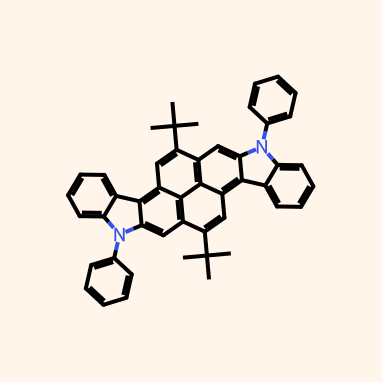 CC(C)(C)c1cc2c3c(cc4c2c2ccccc2n4-c2ccccc2)c(C(C)(C)C)cc2c3c1cc1c2c2ccccc2n1-c1ccccc1